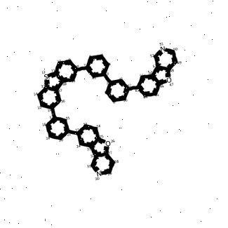 c1cc(-c2cccc(-c3ccc4sc5ccc(-c6cccc(-c7ccc8oc9ccncc9c8c7)c6)cc5c4c3)c2)cc(-c2ccc3oc4ccncc4c3c2)c1